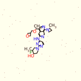 C[C@@H]1CCN1c1ncc([C@@H](C)OCC2COC2)c2cc(Nc3ccnc(N4CC[C@@H](O)[C@@](C)(F)C4)n3)ncc12